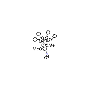 COc1cc(/C=C/C(=O)I)cc(OC)c1O[C@@H]1O[C@H](COCc2ccccc2)[C@@H](OCc2ccccc2)[C@H](OCc2ccccc2)[C@H]1OCc1ccccc1